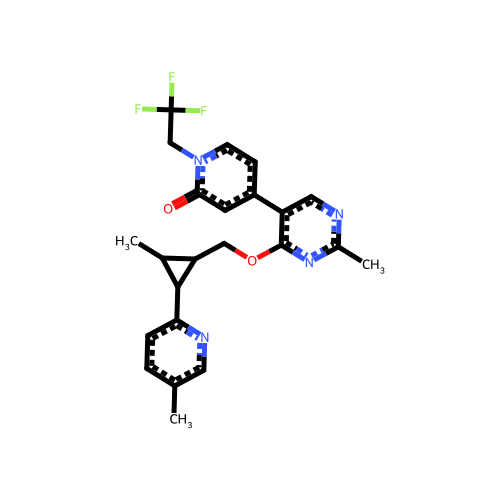 Cc1ccc(C2C(C)C2COc2nc(C)ncc2-c2ccn(CC(F)(F)F)c(=O)c2)nc1